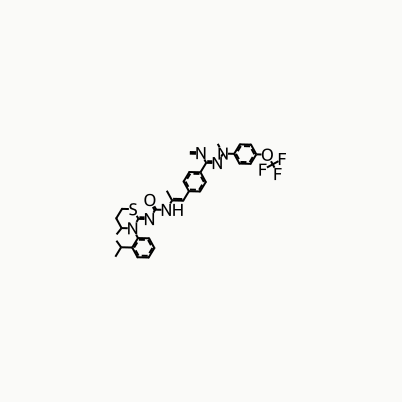 C=N/C(=N\N(C)c1ccc(OC(F)(F)F)cc1)c1ccc(/C=C(\C)NC(=O)/N=C2\SCCC(C)N2c2ccccc2C(C)C)cc1